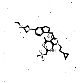 CCOC1CN(c2ccc3c(c2)CC[C@@]3(N)Cc2nn(CCC3CC3)c(NC(=O)CS(C)(=O)=O)c2C(C)=O)C1